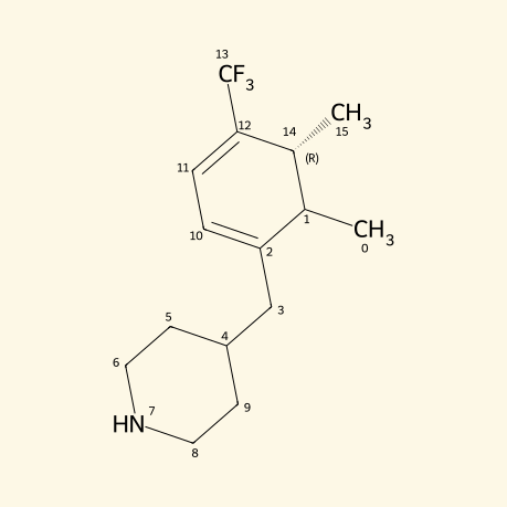 CC1C(CC2CCNCC2)=CC=C(C(F)(F)F)[C@@H]1C